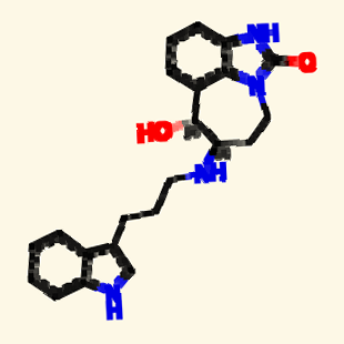 O=c1[nH]c2cccc3c2n1CC[C@@H](NCCCc1c[nH]c2ccccc12)[C@@H]3O